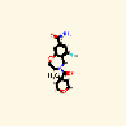 CC1(C(=O)N2CCOc3cc(C(N)=O)cc(F)c3C2)CCOCC1